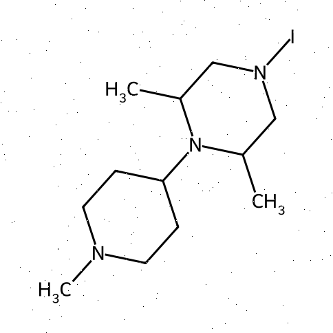 CC1CN(I)CC(C)N1C1CCN(C)CC1